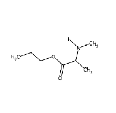 CCCOC(=O)C(C)N(C)I